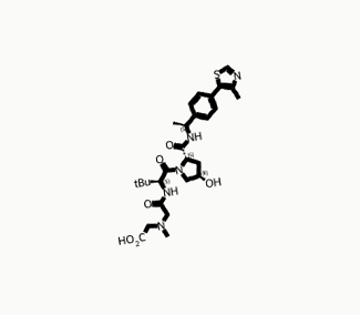 Cc1ncsc1-c1ccc([C@H](C)NC(=O)[C@@H]2C[C@@H](O)CN2C(=O)[C@@H](NC(=O)CN(C)CC(=O)O)C(C)(C)C)cc1